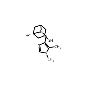 Cc1c(CN2C3C[C@@H]2CN(S)C3)ncn1C